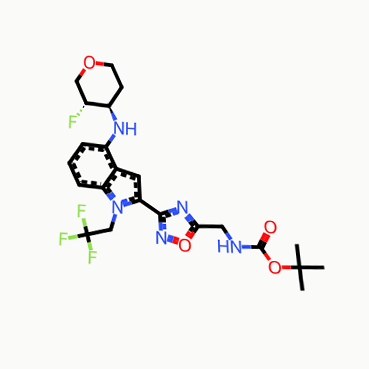 CC(C)(C)OC(=O)NCc1nc(-c2cc3c(N[C@@H]4CCOC[C@H]4F)cccc3n2CC(F)(F)F)no1